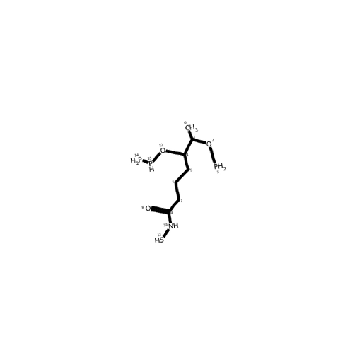 CC(OP)C(CCCC(=O)NS)OPP